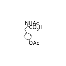 CC(=O)NC(Cc1ccc(OC(C)=O)cc1)C(=O)O